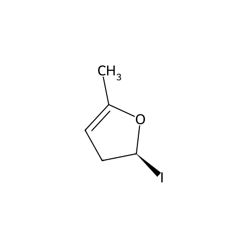 CC1=CC[C@H](I)O1